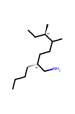 CCCC[C@@H](CN)CCC(C)[C@H](C)CC